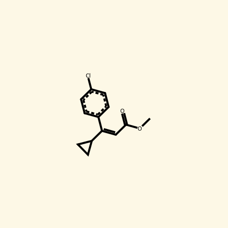 COC(=O)/C=C(\c1ccc(Cl)cc1)C1CC1